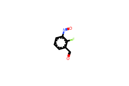 O=Cc1cccc(N=O)c1F